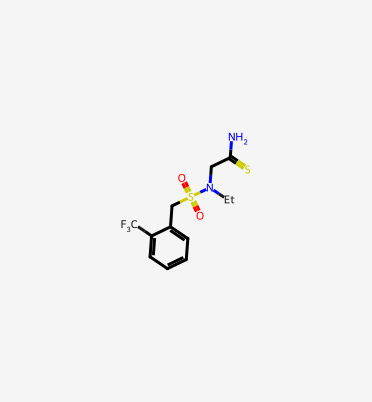 CCN(CC(N)=S)S(=O)(=O)Cc1ccccc1C(F)(F)F